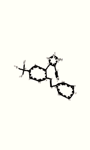 N#Cc1[nH]nnc1-c1cc(C(F)(F)F)ccc1C=Cc1ccccc1